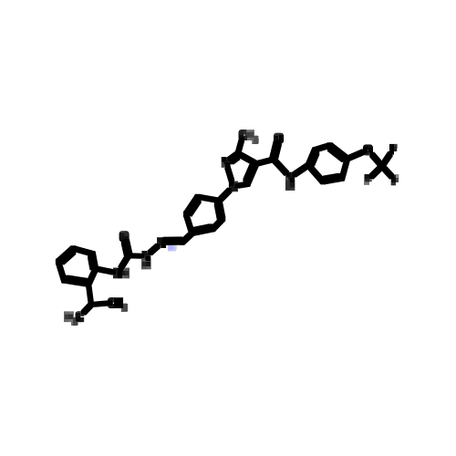 Cc1nn(-c2ccc(/C=N/NC(=O)Nc3ccccc3C(C)C)cc2)cc1C(=O)Nc1ccc(OC(F)(F)F)cc1